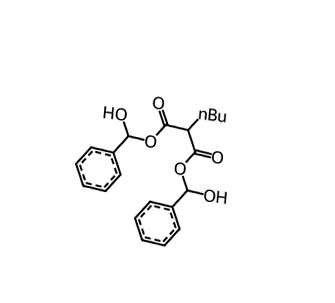 CCCCC(C(=O)OC(O)c1ccccc1)C(=O)OC(O)c1ccccc1